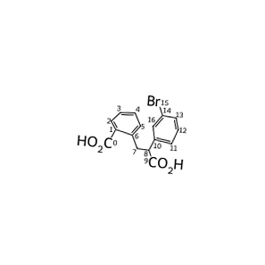 O=C(O)c1ccccc1CC(C(=O)O)c1cccc(Br)c1